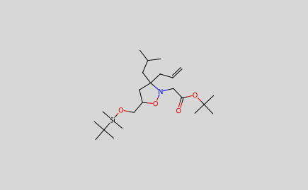 C=CCC1(CC(C)C)CC(CO[Si](C)(C)C(C)(C)C)ON1CC(=O)OC(C)(C)C